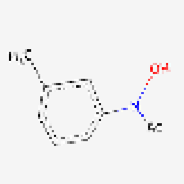 CC(=O)N(O)c1cccc(C)c1